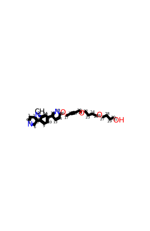 Cn1c2ccncc2c2ccc(-c3ccc(OCC#CCOCCCCOCCCCO)nc3)cc21